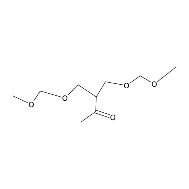 COCOCC(COCOC)C(C)=O